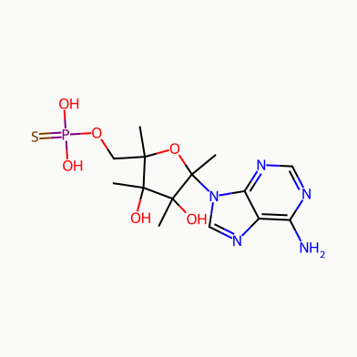 CC1(COP(O)(O)=S)OC(C)(n2cnc3c(N)ncnc32)C(C)(O)C1(C)O